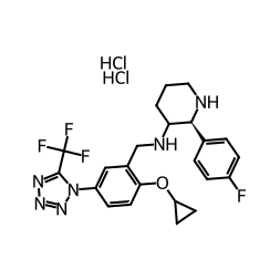 Cl.Cl.Fc1ccc([C@@H]2NCCCC2NCc2cc(-n3nnnc3C(F)(F)F)ccc2OC2CC2)cc1